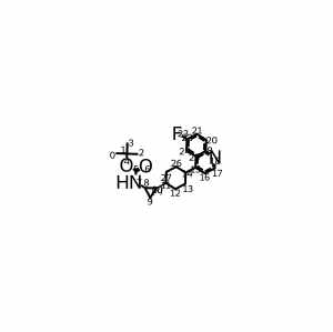 CC(C)(C)OC(=O)NC1C[C@@H]1C1CCC(c2ccnc3ccc(F)cc23)CC1